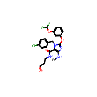 CCNc1nc(Oc2cccc(OC(F)F)c2)n(Cc2ccc(Cl)cc2)c1C(=O)NCCCO